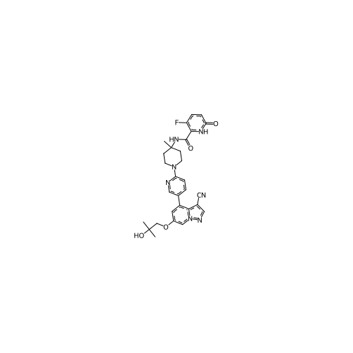 CC(C)(O)COc1cc(-c2ccc(N3CCC(C)(NC(=O)c4[nH]c(=O)ccc4F)CC3)nc2)c2c(C#N)cnn2c1